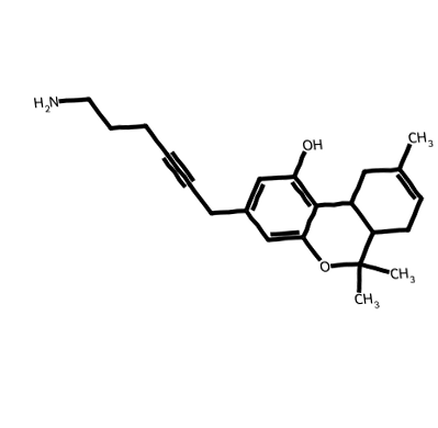 CC1=CCC2C(C1)c1c(O)cc(CC#CCCCN)cc1OC2(C)C